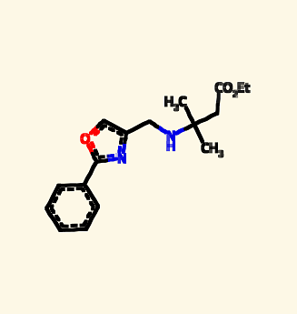 CCOC(=O)CC(C)(C)NCc1coc(-c2ccccc2)n1